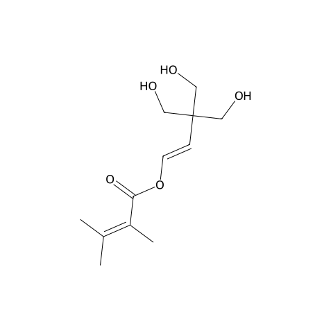 CC(C)=C(C)C(=O)OC=CC(CO)(CO)CO